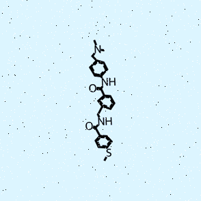 CSc1ccc(C(=O)NCc2cccc(C(=O)Nc3ccc(CN(C)C)cc3)c2)cc1